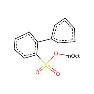 CCCCCCCCOS(=O)(=O)c1ccccc1-c1ccccc1